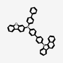 c1ccc(-c2ccc(N(c3ccc(-c4ccc(-n5c6ccccc6c6ccc7ccccc7c65)cc4)cc3)c3ccc4c(c3)oc3ccccc34)cc2)cc1